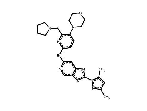 Cc1cc(C)n(-c2nc3cc(Nc4ccc(N5CCOCC5)c(CN5CCCC5)n4)ncc3s2)n1